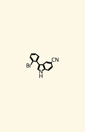 N#Cc1ccc2[nH]cc(-c3ccccc3Br)c2c1